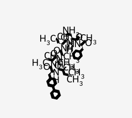 CC(=O)[C@H](CC1CCCCC1)NC(=O)[C@H](CCN)NC(=O)[C@@H](CC(C)C)NC(=O)[C@H](C)N(C)C(=O)[C@@H](NC(=O)[C@H](Cc1ccc(-c2ccccc2)cc1)NC(=O)[C@@H](C)CC(C)C)C(C)C